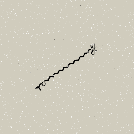 C=C(C)COCCCCCCCCCCCCCCCCCCC[Si](Cl)(Cl)Cl